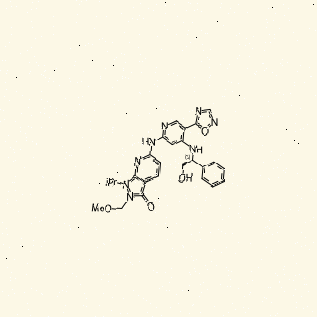 COCn1c(=O)c2ccc(Nc3cc(N[C@H](CO)c4ccccc4)c(-c4ncno4)cn3)nc2n1C(C)C